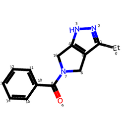 CCc1n[nH]c2c1CN(C(=O)c1ccccc1)C2